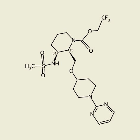 CS(=O)(=O)N[C@H]1CCCN(C(=O)OCC(F)(F)F)[C@H]1COC1CCN(c2ncccn2)CC1